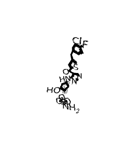 NS(=O)(=O)OC[C@H]1C[C@@H](Nc2ncncc2C(=O)c2cc(Cc3ccc(F)c(Cl)c3)cs2)C[C@@H]1O